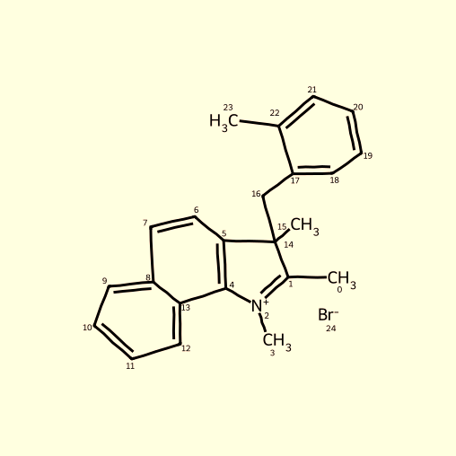 CC1=[N+](C)c2c(ccc3ccccc23)C1(C)Cc1ccccc1C.[Br-]